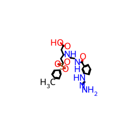 Cc1ccc(S(=O)(=O)CCC(CC(=O)O)NC(=O)CNC(=O)c2cccc(NC=NN)c2)cc1